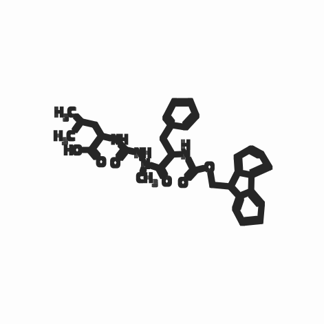 CC(C)CC(NC(=O)NN(C)C(=O)C(Cc1ccccc1)NC(=O)OCC1c2ccccc2-c2ccccc21)C(=O)O